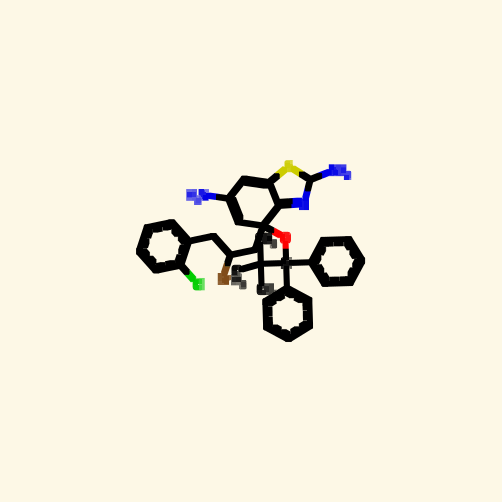 CC(C)(C)[Si](OC1(CC(Br)Cc2ccccc2Cl)C=C(N)C=C2SC(N)N=C21)(c1ccccc1)c1ccccc1